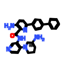 Nc1ccc(-c2ccc(-c3ccccc3)cc2)nc1C(=O)Nc1cnccc1N1CCC[C@H](N)C1